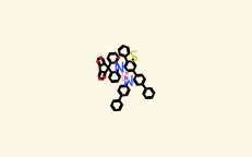 c1ccc(-c2ccc(N3B4c5cccc6c5N(c5ccccc5C65c6ccccc6-c6ccccc65)c5c4c(cc4sc6ccccc6c54)-c4ccc(-c5ccccc5)cc43)cc2)cc1